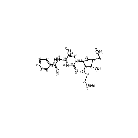 COCCOC1C(O)C(CO)OC1n1cc(C)c(NC(=O)c2ccccc2)nc1=O